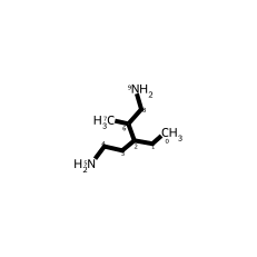 CCC(CCN)C(C)CN